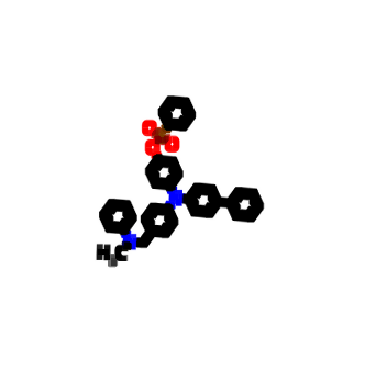 CN(Cc1ccc(N(c2ccc(OS(=O)(=O)c3ccccc3)cc2)c2ccc(-c3ccccc3)cc2)cc1)c1ccccc1